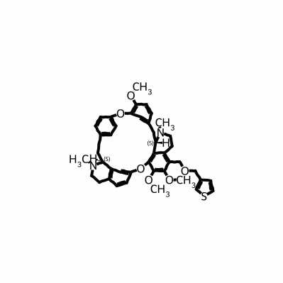 COc1ccc2cc1Oc1ccc(cc1)C[C@H]1c3cc(ccc3CCN1C)Oc1c(OC)c(OC)c(COCc3ccsc3)c3c1[C@H](C2)N(C)CC3